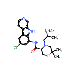 CC(=O)N[C@@H](C)CN1CC(C)(C)OC[C@H]1C(=O)Nc1cc(Cl)cc2c1[nH]c1cnccc12